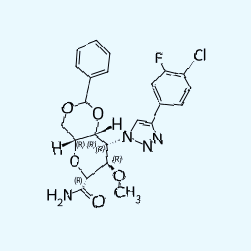 CO[C@@H]1[C@@H](n2cc(-c3ccc(Cl)c(F)c3)nn2)[C@H]2OC(c3ccccc3)OC[C@H]2O[C@H]1C(N)=O